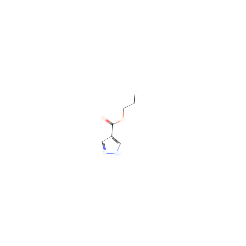 [CH2]CCOC(=O)c1cn[nH]c1